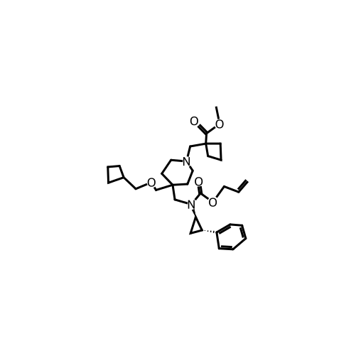 C=CCOC(=O)N(CC1(COCC2CCC2)CCN(CC2(C(=O)OC)CCC2)CC1)[C@@H]1C[C@H]1c1ccccc1